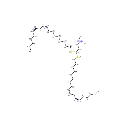 CCCCC/C=C\C/C=C\CCCCCCCCSC(CCN(C)C)SCCCCCCCC/C=C\C/C=C\CCCCC